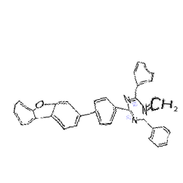 C=N/C(=N\C(=N/Cc1ccccc1)c1ccc(-c2ccc3c(c2)oc2ccccc23)cc1)c1ccccc1